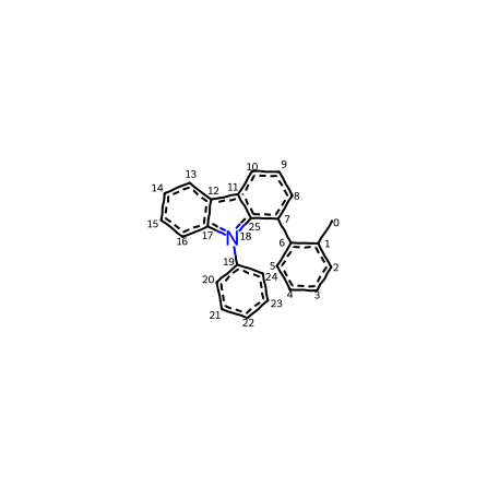 Cc1ccccc1-c1cccc2c3ccccc3n(-c3ccccc3)c12